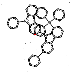 c1ccc(-c2ccc3c4cccc([Si](c5ccccc5)(c5ccccc5)c5ccccc5)c4n(-c4ccc5c(c4)c4ccccc4n5-c4ccccc4)c3c2)cc1